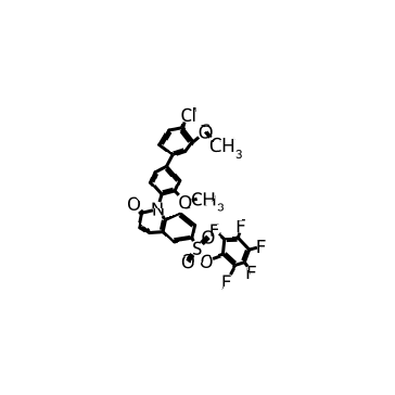 COc1cc(-c2ccc(-n3c(=O)ccc4cc(S(=O)(=O)Oc5c(F)c(F)c(F)c(F)c5F)ccc43)c(OC)c2)ccc1Cl